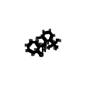 Cc1cccc(C(F)(F)F)c1Nc1cccccc1=O